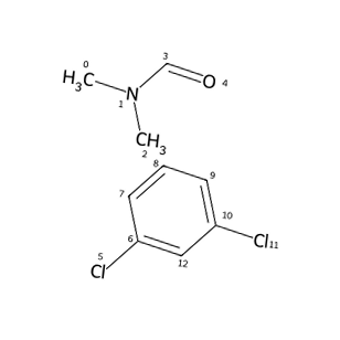 CN(C)C=O.Clc1cccc(Cl)c1